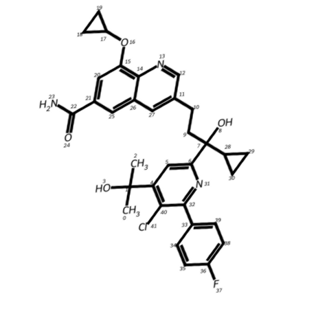 CC(C)(O)c1cc(C(O)(CCc2cnc3c(OC4CC4)cc(C(N)=O)cc3c2)C2CC2)nc(-c2ccc(F)cc2)c1Cl